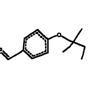 CCC(C)(C)Oc1ccc(C=O)cc1